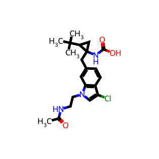 CC(=O)NCCn1cc(Cl)c2ccc(CC3(NC(=O)O)CC3C(C)(C)C)cc21